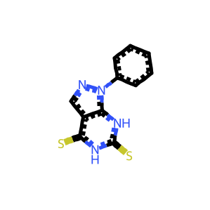 S=c1[nH]c(=S)c2cnn(-c3ccccc3)c2[nH]1